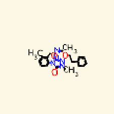 CC(=NOCc1c(C)cccc1-n1nnn(C)c1=O)OCCc1ccccc1